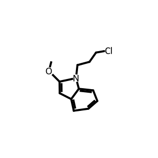 COc1cc2ccccc2n1CCCCl